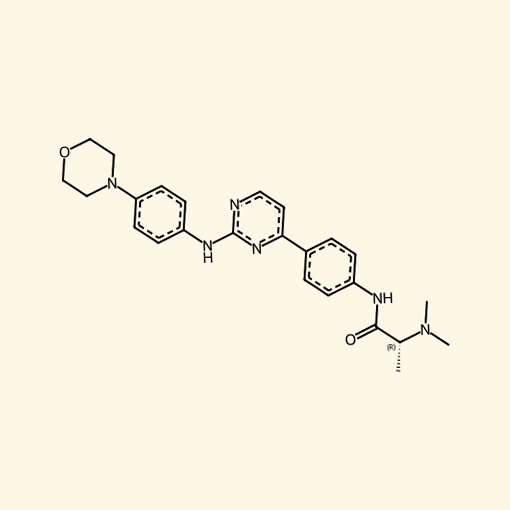 C[C@H](C(=O)Nc1ccc(-c2ccnc(Nc3ccc(N4CCOCC4)cc3)n2)cc1)N(C)C